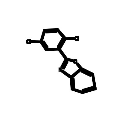 Clc1ccc(Cl)c(-c2nc3ccccc3o2)c1